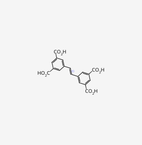 O=C(O)c1cc(/C=C/c2cc(C(=O)O)cc(C(=O)O)c2)cc(C(=O)O)c1